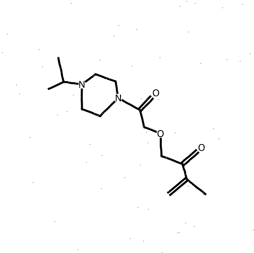 C=C(C)C(=O)COCC(=O)N1CCN(C(C)C)CC1